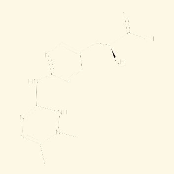 CC1=NN=C(Nc2ccc(C[C@H](N)C(=O)O)cn2)NN1C